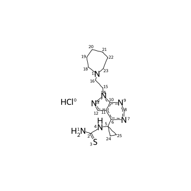 Cl.NC(=S)NC1(c2ncnc3c2cnn3CCN2CCCCCC2)CC1